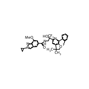 COc1cc(C(=O)NC[C@@](O)(c2cc3c(c(-c4ccccc4F)n2)OCC3(C)C)C(F)(F)F)cc2cn(C3CC3)nc12